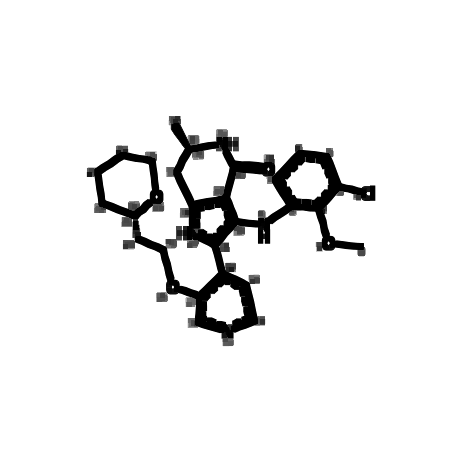 COc1c(Cl)cccc1Nc1c(-c2ccncc2OCC[C@@H]2CCCCO2)[nH]c2c1C(=O)N[C@H](C)C2